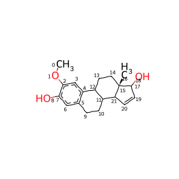 COc1cc2c(cc1O)CCC1C2CC[C@]2(C)C(O)C=CC12